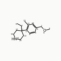 CCC1(c2ccc(COC)cc2C)CCNCC1